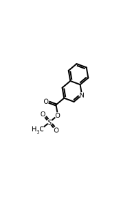 CS(=O)(=O)OC(=O)c1cnc2ccccc2c1